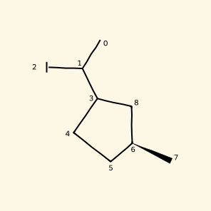 CC(I)C1CC[C@H](C)C1